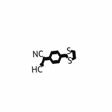 C#CC(C#N)=c1ccc(=C2SC=CS2)cc1